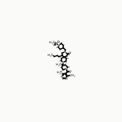 CCCCC1CN(CC2CCN(S(C)(=O)=O)CC2)C(=O)CC12CCN(C1(C)CCN(C(=O)c3c(C)ncnc3C)CC1)CC2